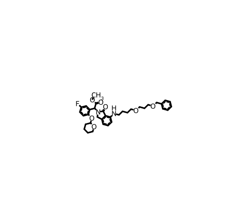 COC(=O)C(c1cc(F)ccc1OC1CCCCO1)N1Cc2cccc(NCCCCOCCCOCc3ccccc3)c2C1=O